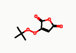 CC(C)(C)OOC1=CC(=O)OC1=O